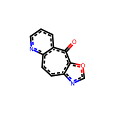 O=c1c2cccnc2ccc2ncoc12